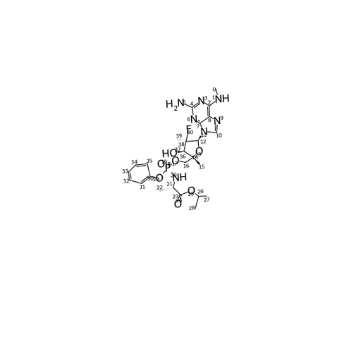 CNc1nc(N)nc2c1ncn2[C@H]1O[C@](C)(CO[P@@](=O)(N[C@@H](C)C(=O)OC(C)C)Oc2ccccc2)[C@@H](O)[C@@]1(C)F